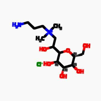 C[N+](C)(CCCN)CC(O)C1O[C@H](CO)[C@@H](O)[C@H](O)[C@H]1O.[Cl-]